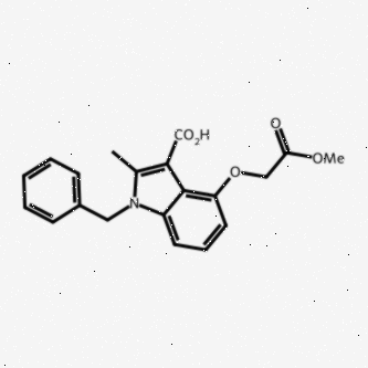 COC(=O)COc1cccc2c1c(C(=O)O)c(C)n2Cc1ccccc1